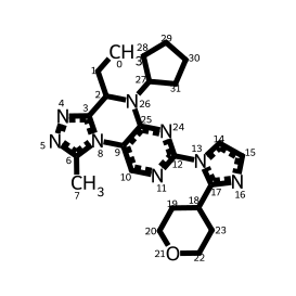 CCC1c2nnc(C)n2-c2cnc(-n3ccnc3C3CCOCC3)nc2N1C1CCCC1